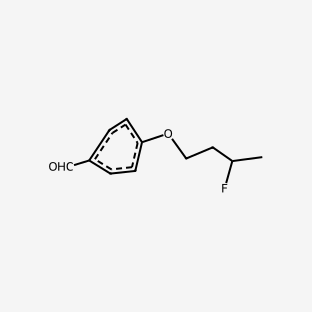 CC(F)CCOc1ccc(C=O)cc1